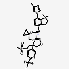 Cc1cn(-c2ccc(/C=C3\OC4(CC4)CN4C3=NOCC4(CCS(C)(=O)=O)c3ccc(C(F)(F)F)nc3)c3c2[Si](C)(C)CC3)cn1